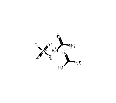 N=C(N)[NH3+].N=C(N)[NH3+].[O]=[W](=[O])([O-])[O-]